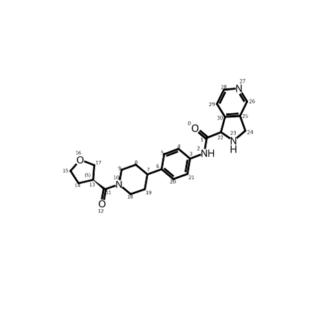 O=C(Nc1ccc(C2CCN(C(=O)[C@H]3CCOC3)CC2)cc1)C1NCc2cnccc21